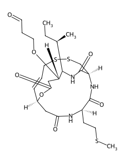 CC[C@@H](C)C1NC(=O)[C@H]2CSSC/C=C/[C@H](CC(=O)N[C@H](CCSC)C(=O)N2)OC(=O)C[C@@H]1OCCC=O